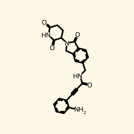 Nc1ccccc1C#CC(=O)NCc1ccc2c(c1)CN(C1CCC(=O)NC1=O)C2=O